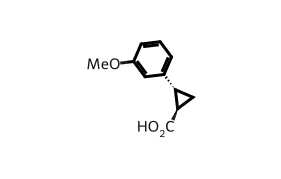 COc1cccc([C@@H]2C[C@H]2C(=O)O)c1